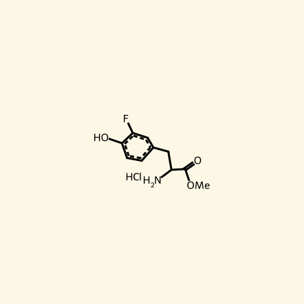 COC(=O)C(N)Cc1ccc(O)c(F)c1.Cl